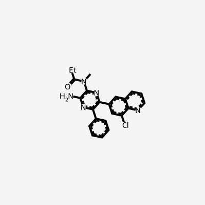 CCC(=O)N(C)c1nc(-c2cc(Cl)c3ncccc3c2)c(-c2ccccc2)nc1N